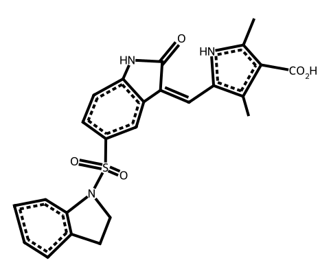 Cc1[nH]c(/C=C2\C(=O)Nc3ccc(S(=O)(=O)N4CCc5ccccc54)cc32)c(C)c1C(=O)O